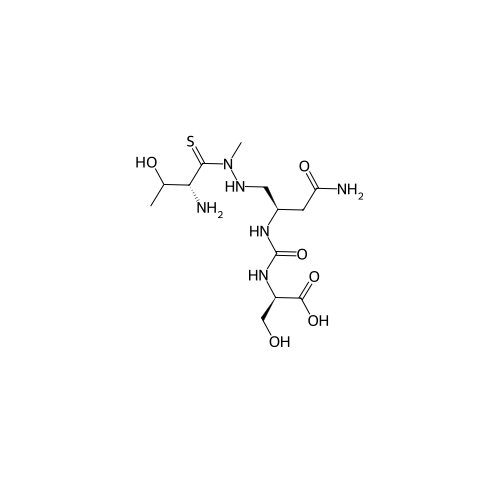 CC(O)[C@@H](N)C(=S)N(C)NC[C@@H](CC(N)=O)NC(=O)N[C@H](CO)C(=O)O